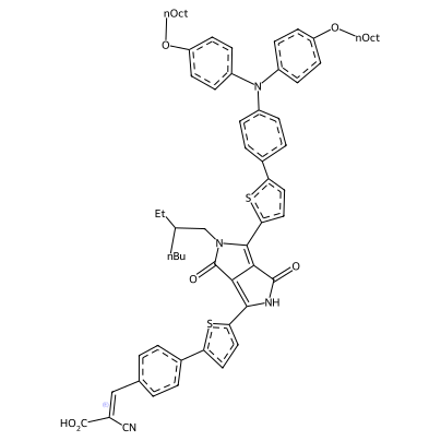 CCCCCCCCOc1ccc(N(c2ccc(OCCCCCCCC)cc2)c2ccc(-c3ccc(C4=C5C(=O)NC(c6ccc(-c7ccc(/C=C(\C#N)C(=O)O)cc7)s6)=C5C(=O)N4CC(CC)CCCC)s3)cc2)cc1